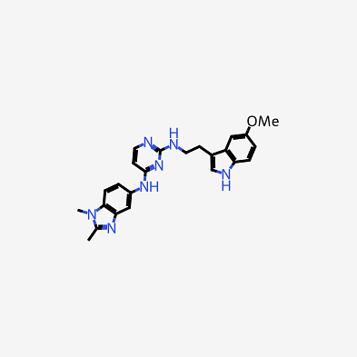 COc1ccc2[nH]cc(CCNc3nccc(Nc4ccc5c(c4)nc(C)n5C)n3)c2c1